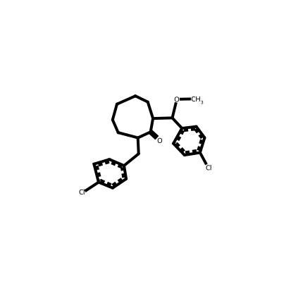 COC(c1ccc(Cl)cc1)C1CCCCCC(Cc2ccc(Cl)cc2)C1=O